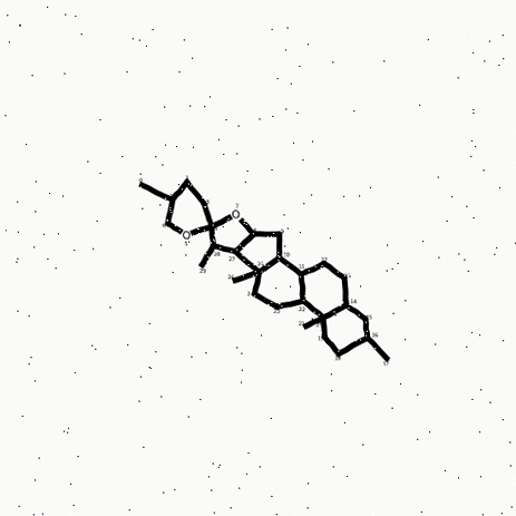 CC1CCC2(OC1)OC1CC3C4CCC5CC(C)CCC5(C)C4CCC3(C)C1C2C